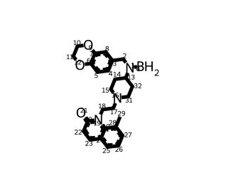 BN(Cc1ccc2c(c1)OCCO2)C1CCN(CCn2c(=O)ccc3cccc(C)c32)CC1